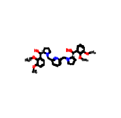 COc1cccc(C(O)[C@@H]2CCCN2Cc2cccc(CN3CCC[C@H]3C(O)c3cccc(OC)c3OC)n2)c1OC